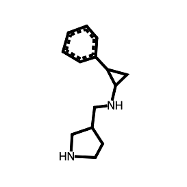 c1ccc(C2CC2NCC2CCNC2)cc1